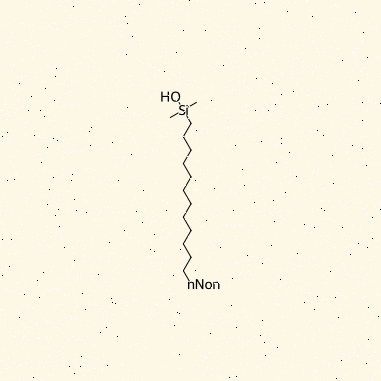 CCCCCCCCCCCCCCCCCCCCC[Si](C)(C)O